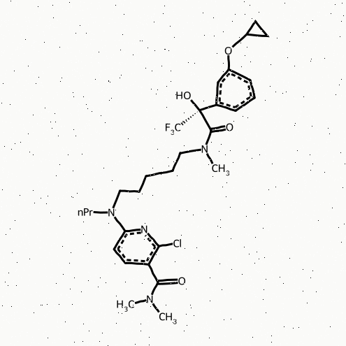 CCCN(CCCCCN(C)C(=O)[C@@](O)(c1cccc(OC2CC2)c1)C(F)(F)F)c1ccc(C(=O)N(C)C)c(Cl)n1